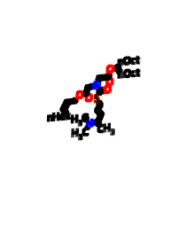 CCCCCC/C=C\COC(=O)CN(CC(=O)OC(CCCCCCCC)CCCCCCCC)C(=O)SCCCC(C)N(C)C